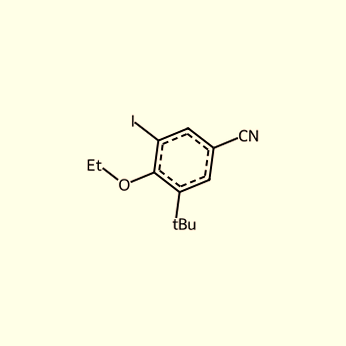 CCOc1c(I)cc(C#N)cc1C(C)(C)C